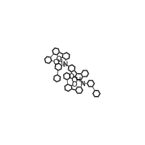 Cc1ccccc1-c1cccc2c1oc1c(N(c3cccc(-c4ccccc4)c3)c3ccc4c(c3)oc3cc(N(c5cccc(-c6ccccc6)c5)c5cccc6c5oc5c(-c7ccccc7C)cccc56)c5ccccc5c34)cccc12